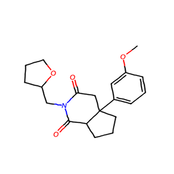 COc1cccc(C23CCCC2C(=O)N(CC2CCCO2)C(=O)C3)c1